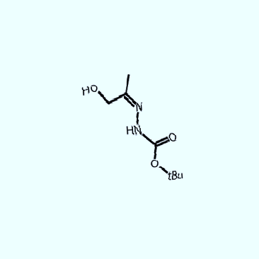 CC(CO)=NNC(=O)OC(C)(C)C